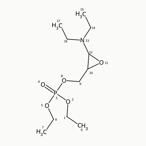 CCOP(=O)(OCC)OCC1OC1N(CC)CC